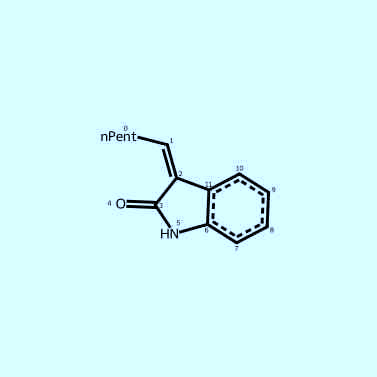 CCCCCC=C1C(=O)Nc2ccccc21